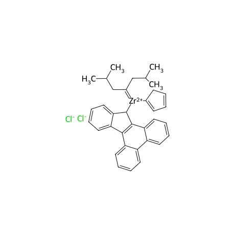 CC(C)C[C](CC(C)C)=[Zr+2]([C]1=CC=CC1)[CH]1c2ccccc2-c2c1c1ccccc1c1ccccc21.[Cl-].[Cl-]